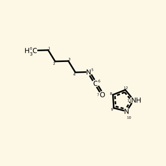 CCCCCN=C=O.c1cn[nH]c1